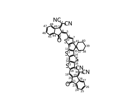 N#CC(C#N)=C1/C(=C/c2cc3c(s2)-c2sc4c(sc5cc(/C=C6/C(=O)c7ccccc7C6=C(C#N)C#N)sc54)c2C32CCCCC2)C(=O)c2ccccc21